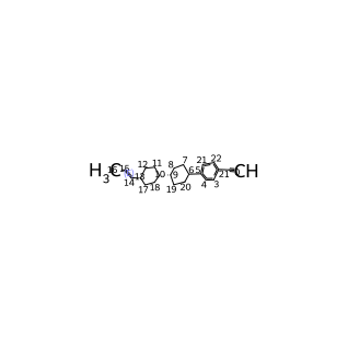 C#Cc1ccc(C2CCC([C@H]3CC[C@H](/C=C/C)CC3)CC2)cc1